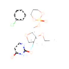 CC(=O)OCO[C@@H]1[C@@H](CO[P@@]2(=O)OCC[C@@H](c3cccc(Cl)c3)O2)O[C@@H](n2ccc(=O)[nH]c2=O)[C@]1(C)F